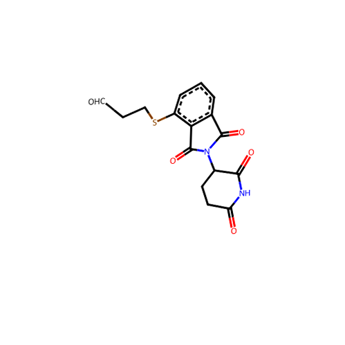 O=CCCSc1cccc2c1C(=O)N(C1CCC(=O)NC1=O)C2=O